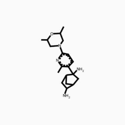 Cc1nc(N2CC(C)OC(C)C2)ccc1C1(N)CC2CC1CC2N